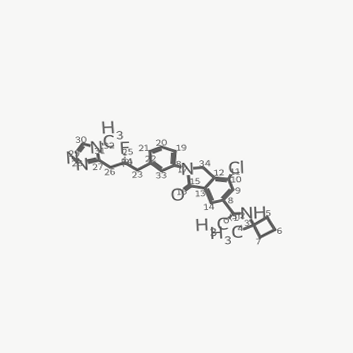 C[C@H](NC1(C)CCC1)c1cc(Cl)c2c(c1)C(=O)N(c1cccc(C[C@@H](F)Cc3nncn3C)c1)C2